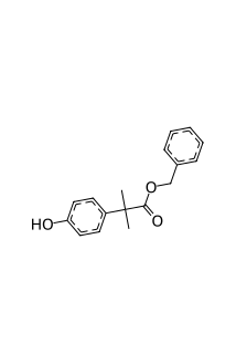 CC(C)(C(=O)OCc1ccccc1)c1ccc(O)cc1